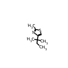 CCC(C)(C)c1csc(C)n1